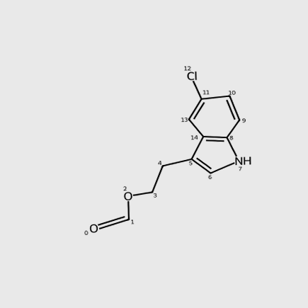 O=COCCc1c[nH]c2ccc(Cl)cc12